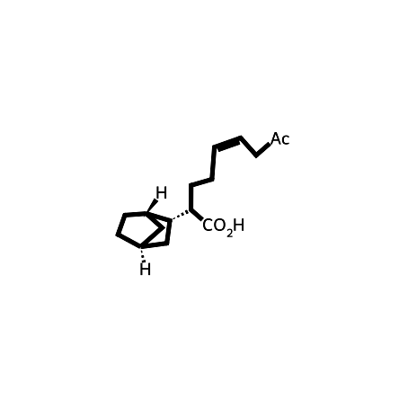 CC(=O)C/C=C\CCC(C(=O)O)[C@@H]1C[C@H]2CC[C@H]1C2